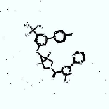 Cc1nc(-c2ncccn2)sc1C(=O)N1C[C@@H]2C(Oc3cc(-c4ccc(F)cc4)nc(C(C)(C)N)c3)[C@@H]2C1